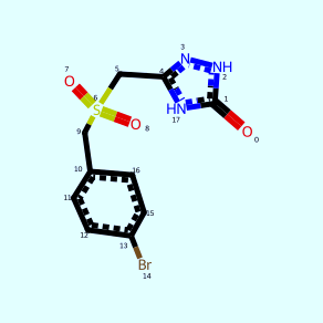 O=c1[nH]nc(CS(=O)(=O)Cc2ccc(Br)cc2)[nH]1